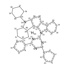 c1ccc(-c2nc(-c3ccccc3)nc(-n3c4ccccc4c4ccc5c(c43)[C@H]3CCCCC3N5C3CCCCC3)n2)cc1